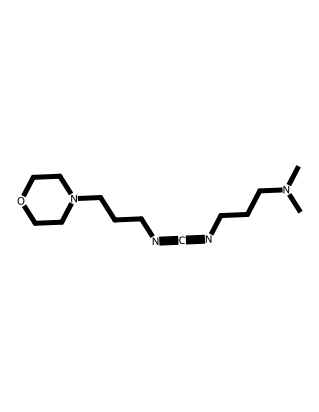 CN(C)CCCN=C=NCCCN1CCOCC1